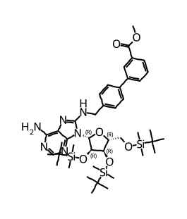 COC(=O)c1cccc(-c2ccc(CNc3nc4c(N)ncnc4n3[C@@H]3O[C@H](CO[Si](C)(C)C(C)(C)C)[C@@H](O[Si](C)(C)C(C)(C)C)[C@H]3O[Si](C)(C)C(C)(C)C)cc2)c1